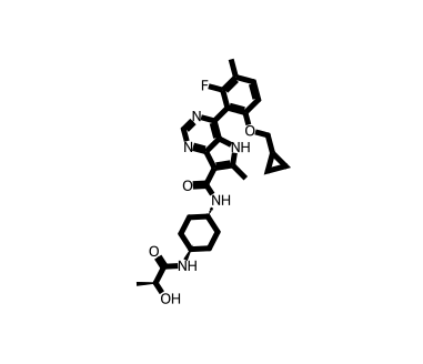 Cc1ccc(OCC2CC2)c(-c2ncnc3c(C(=O)N[C@H]4CC[C@H](NC(=O)[C@H](C)O)CC4)c(C)[nH]c23)c1F